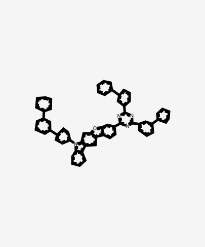 c1ccc(-c2cccc(-c3ccc(-n4c5ccccc5c5cc6c(cc54)oc4cc(-c5nc(-c7cccc(-c8ccccc8)c7)nc(-c7cccc(-c8ccccc8)c7)n5)ccc46)cc3)c2)cc1